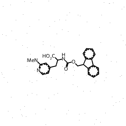 CNc1cc(CC(NC(=O)OCC2c3ccccc3-c3ccccc32)C(=O)O)ccn1